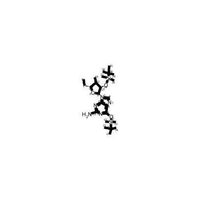 CC[C@H]1O[C@@H](n2cnc3c(O[Si](C)(C)C(C)(C)C)nc(N)nc32)[C@@H](O[Si](C)(C)C(C)(C)C)C1C